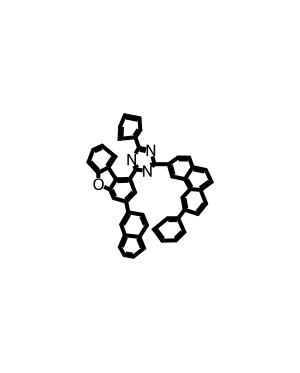 c1ccc(-c2ccc3ccc4ccc(-c5nc(-c6ccccc6)nc(-c6cc(-c7ccc8ccccc8c7)cc7oc8ccccc8c67)n5)cc4c3c2)cc1